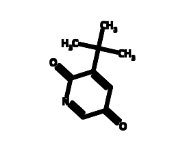 CC(C)(C)C1=CC(=O)C=NC1=O